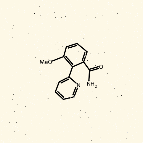 COc1cccc(C(N)=O)c1-c1ccccn1